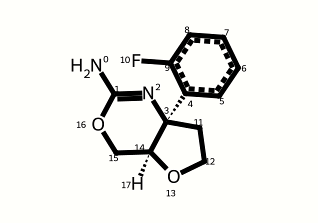 NC1=N[C@@]2(c3ccccc3F)CCO[C@H]2CO1